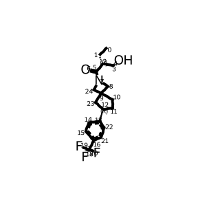 CC[C@H](CO)C(=O)N1CC2(CC[C@@H](c3ccc(C(F)(F)F)cc3)C2)C1